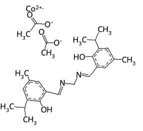 CC(=O)[O-].CC(=O)[O-].Cc1cc(C=NCN=Cc2cc(C)cc(C(C)C)c2O)c(O)c(C(C)C)c1.[Co+2]